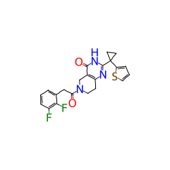 O=C(Cc1cccc(F)c1F)N1CCc2nc(C3(c4cccs4)CC3)[nH]c(=O)c2C1